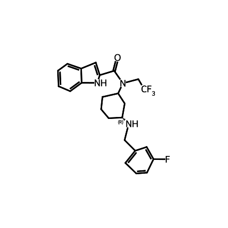 O=C(c1cc2ccccc2[nH]1)N(CC(F)(F)F)C1CCC[C@@H](NCc2cccc(F)c2)C1